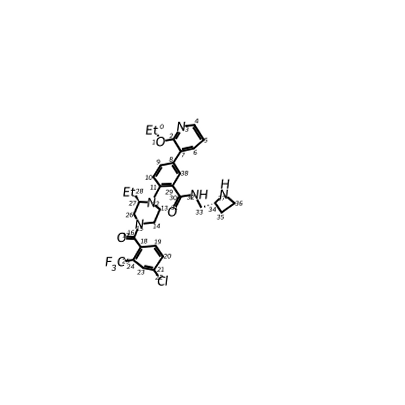 CCOc1ncccc1-c1ccc(N2CCN(C(=O)c3ccc(Cl)cc3C(F)(F)F)C[C@H]2CC)c(C(=O)NC[C@H]2CCN2)c1